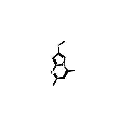 CSc1cc2nc(C)cc(C)n2n1